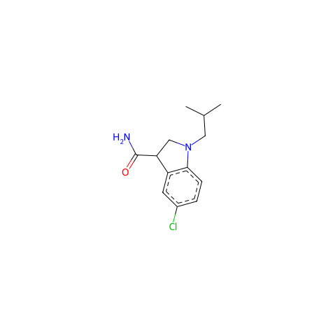 CC(C)CN1CC(C(N)=O)c2cc(Cl)ccc21